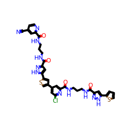 N#Cc1ccnc(C(=O)NCCCNC(=O)c2cc(-c3cc(-c4cc(Cl)nc(C(=O)NCCCNC(=O)c5cc(-c6cccs6)[nH]n5)c4)cs3)[nH]n2)c1